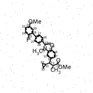 COC(=O)[C@@H](C)C(c1ccc2c(c1)N(C)C(c1ccc(-c3cc(OC)ccc3F)cc1)CO2)C1CC1